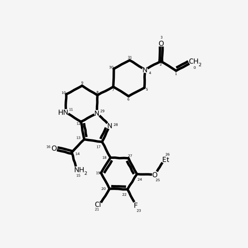 C=CC(=O)N1CCC(C2CCNc3c(C(N)=O)c(-c4cc(Cl)c(F)c(OCC)c4)nn32)CC1